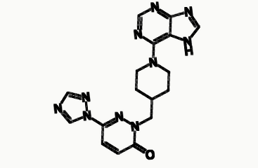 O=c1ccc(-n2cncn2)nn1CC1CCN(c2ncnc3nc[nH]c23)CC1